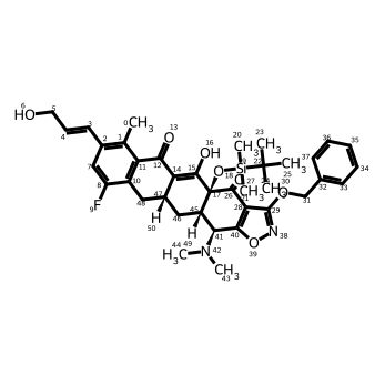 Cc1c(/C=C/CO)cc(F)c2c1C(=O)C1=C(O)[C@]3(O[Si](C)(C)C(C)(C)C)C(=O)c4c(OCc5ccccc5)noc4[C@@H](N(C)C)[C@@H]3C[C@@H]1C2